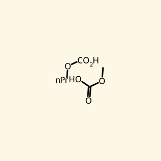 CCCOC(=O)O.COC(=O)O